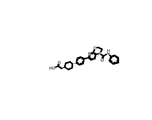 O=C(O)C[C@H]1CC[C@H](c2ccc(-c3ccc4c(n3)OCCN4C(=O)Nc3ccccc3)cc2)CC1